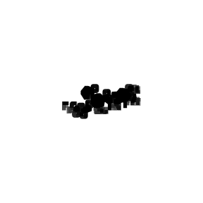 CCOc1cc2c(c(F)c1OCC)C(=N)N(CC(=O)c1cc(N3CCCC3=O)c(OCC(=O)OC(=O)C(F)(F)F)c(C(C)(C)C)c1)C2